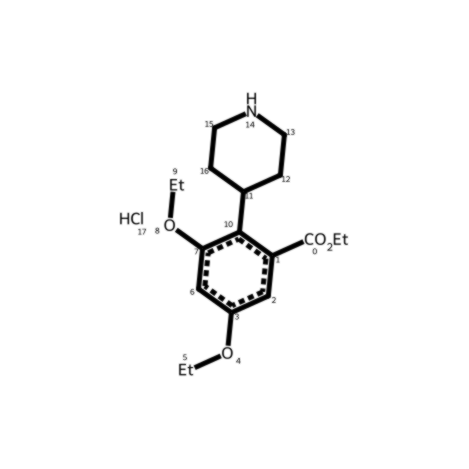 CCOC(=O)c1cc(OCC)cc(OCC)c1C1CCNCC1.Cl